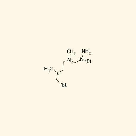 CCC=C(C)CCN(C)CN(N)CC